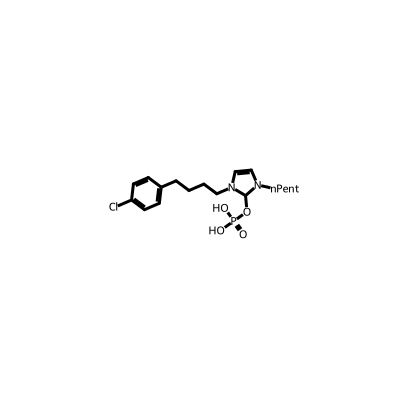 CCCCCN1C=CN(CCCCc2ccc(Cl)cc2)C1OP(=O)(O)O